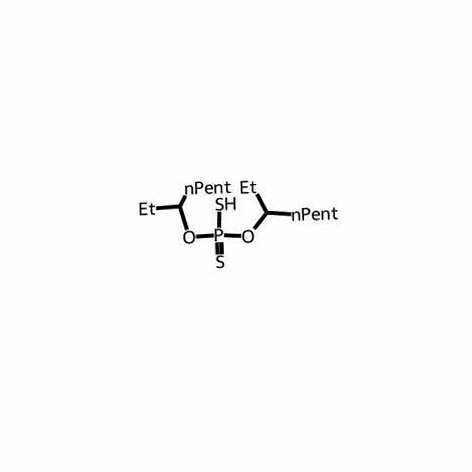 CCCCCC(CC)OP(=S)(S)OC(CC)CCCCC